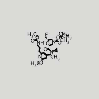 COC(=O)NCCCc1cc([C@@H](C)N(C(=O)[C@H]2CN(C(=O)OC(C)(C)C)C[C@@H](CF)O2)C2CC2)cc(OC)n1